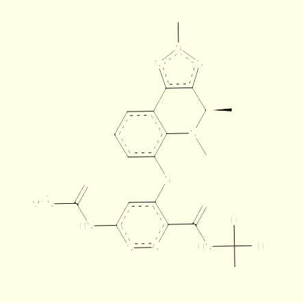 [2H]C([2H])([2H])NC(=O)c1nnc(NC(=O)NC)cc1Nc1cccc2c1N(C)[C@H](C)c1nn(C)nc1-2